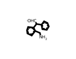 NCc1ccccc1C([C]=O)c1ccccc1